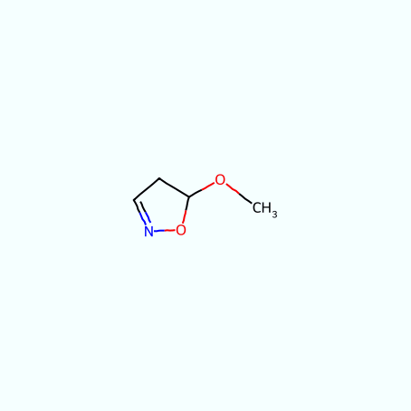 COC1CC=NO1